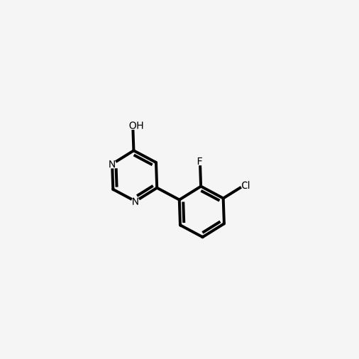 Oc1cc(-c2cccc(Cl)c2F)ncn1